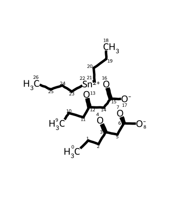 CCCC(=O)CC(=O)[O-].CCCC(=O)CC(=O)[O-].CCC[CH2][Sn+2][CH2]CCC